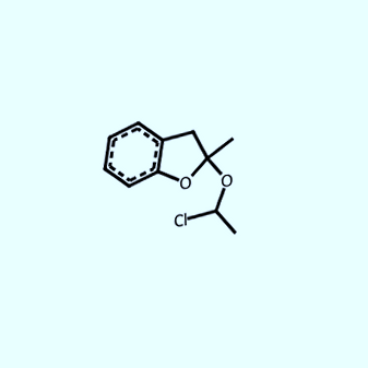 CC(Cl)OC1(C)Cc2ccccc2O1